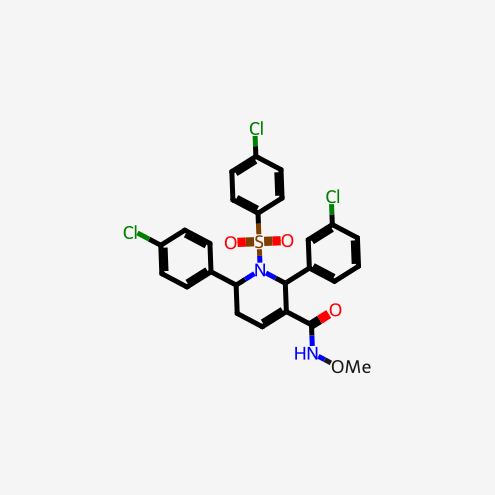 CONC(=O)C1=CCC(c2ccc(Cl)cc2)N(S(=O)(=O)c2ccc(Cl)cc2)C1c1cccc(Cl)c1